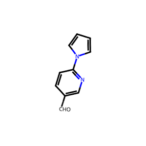 O=Cc1ccc(-n2cccc2)nc1